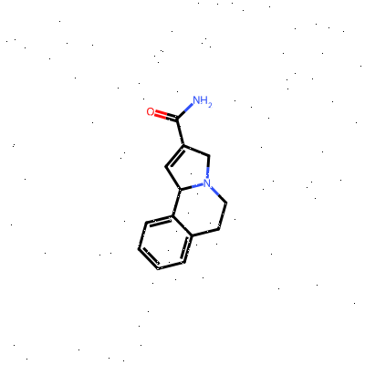 NC(=O)C1=CC2c3ccccc3CCN2C1